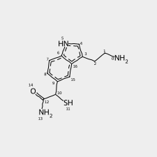 NCCc1c[nH]c2ccc(C(S)C(N)=O)cc12